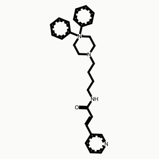 O=C(C=Cc1cccnc1)NCCCCN1CC[N+](c2ccccc2)(c2ccccc2)CC1